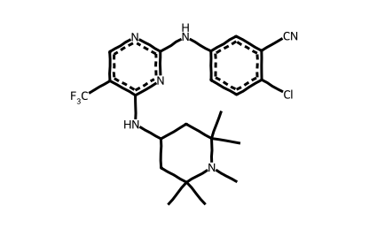 CN1C(C)(C)CC(Nc2nc(Nc3ccc(Cl)c(C#N)c3)ncc2C(F)(F)F)CC1(C)C